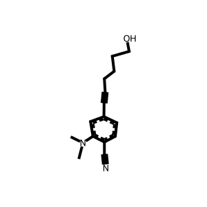 CN(C)c1cc(C#CCCCCO)ccc1C#N